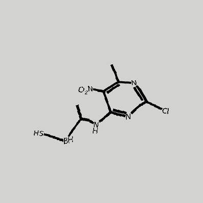 Cc1nc(Cl)nc(NC(C)BS)c1[N+](=O)[O-]